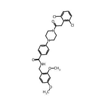 COc1ccc(CNC(=O)c2ccc(N3CCN(C(=O)Cc4c(Cl)cccc4Cl)CC3)cc2)c(OC)c1